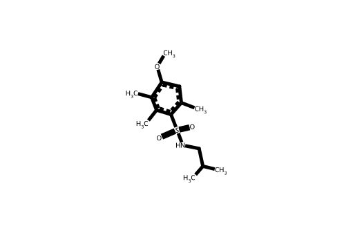 COc1cc(C)c(S(=O)(=O)NCC(C)C)c(C)c1C